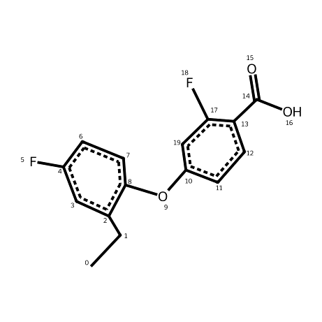 CCc1cc(F)ccc1Oc1ccc(C(=O)O)c(F)c1